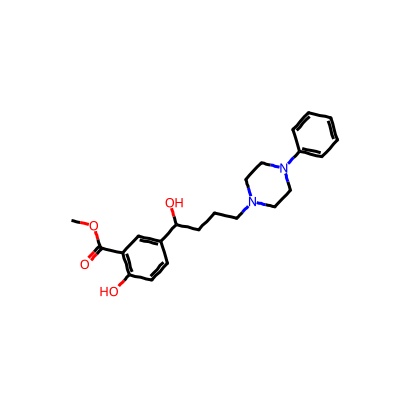 COC(=O)c1cc(C(O)CCCN2CCN(c3ccccc3)CC2)ccc1O